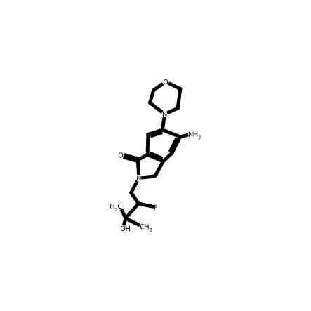 CC(C)(O)C(F)CN1Cc2cc(N)c(N3CCOCC3)cc2C1=O